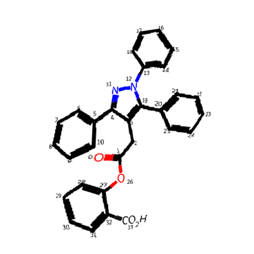 O=C(Cc1c(-c2ccccc2)nn(-c2ccccc2)c1-c1ccccc1)Oc1ccccc1C(=O)O